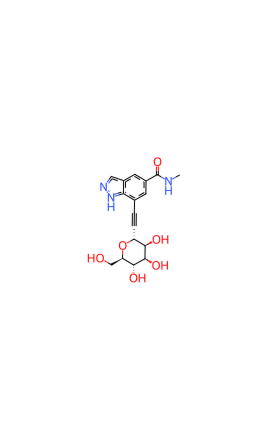 CNC(=O)c1cc(C#C[C@H]2O[C@H](CO)[C@@H](O)[C@H](O)[C@@H]2O)c2[nH]ncc2c1